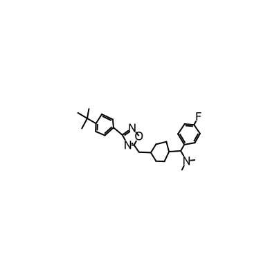 CN(C)C(c1ccc(F)cc1)C1CCC(Cc2nc(-c3ccc(C(C)(C)C)cc3)no2)CC1